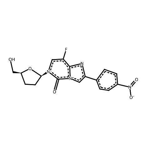 O=c1n([C@H]2CC[C@@H](CO)O2)cc(F)c2nc(-c3ccc([N+](=O)[O-])cc3)cn12